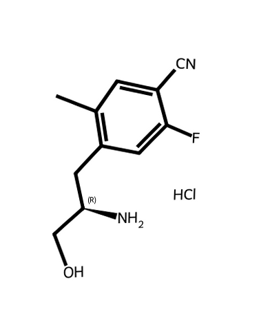 Cc1cc(C#N)c(F)cc1C[C@@H](N)CO.Cl